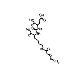 C=NOCC(=O)NCCCCC(NC(=O)NC(CCC(=O)O)C(=O)O)C(=O)O